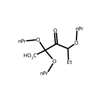 CCCOC(CC)C(=O)C(OCCC)(OCCC)C(=O)O